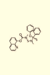 CN(SN(C)P(=S)(Oc1ccccc1)c1ccccc1)C(=O)Oc1cccc2cccnc12